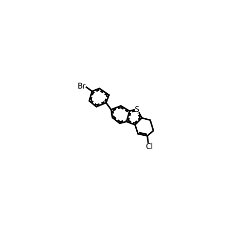 ClC1=Cc2c(sc3cc(-c4ccc(Br)cc4)ccc23)CC1